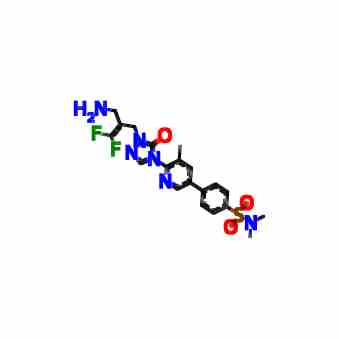 Cc1cc(-c2ccc(S(=O)(=O)N(C)C)cc2)cnc1-n1cnn(CC(CN)=C(F)F)c1=O